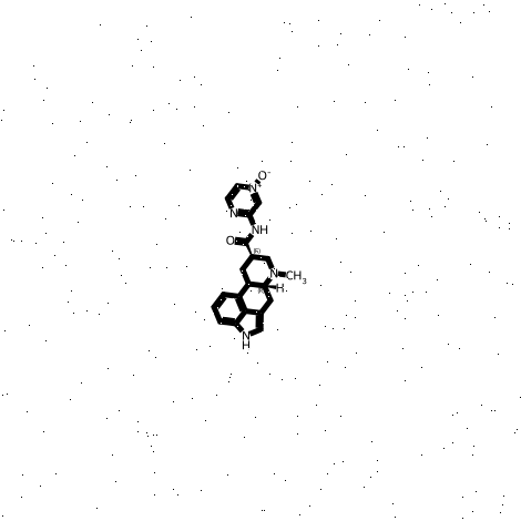 CN1C[C@H](C(=O)Nc2c[n+]([O-])ccn2)CC2c3cccc4[nH]cc(c34)C[C@H]21